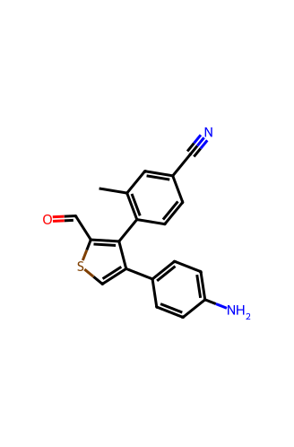 Cc1cc(C#N)ccc1-c1c(-c2ccc(N)cc2)csc1C=O